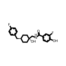 O=C(NC[C@]1(O)CC[C@H](Cc2ccc(F)cc2)CC1)c1ccc(O)c(F)c1